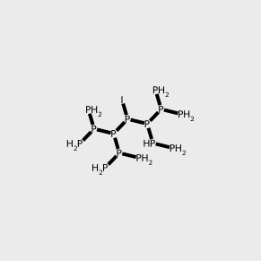 PPP(P(P)P)P(I)P(P(P)P)P(P)P